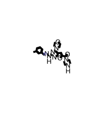 Cc1cccc(/C=N/Nc2nc(N3CCOCC3)c3cc(C(=O)N4CCNCC4)oc3n2)c1